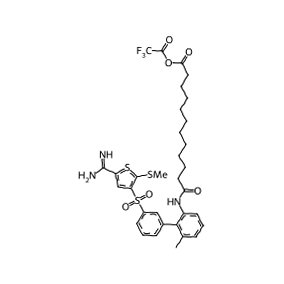 CSc1sc(C(=N)N)cc1S(=O)(=O)c1cccc(-c2c(C)cccc2NC(=O)CCCCCCCCCCC(=O)OC(=O)C(F)(F)F)c1